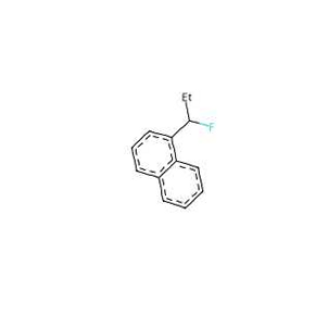 CCC(F)c1cccc2ccccc12